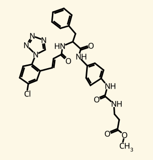 COC(=O)CCNC(=O)Nc1ccc(NC(=O)C(Cc2ccccc2)NC(=O)C=Cc2cc(Cl)ccc2-n2cnnn2)cc1